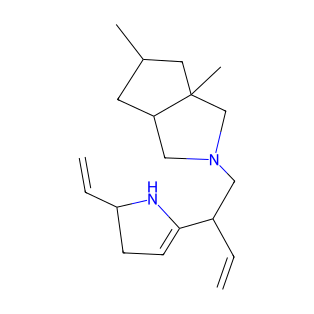 C=CC1CC=C(C(C=C)CN2CC3CC(C)CC3(C)C2)N1